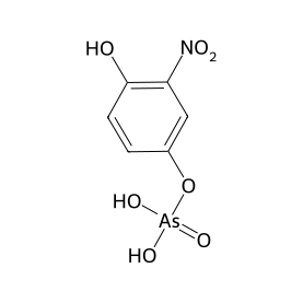 O=[N+]([O-])c1cc(O[As](=O)(O)O)ccc1O